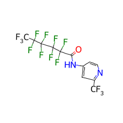 O=C(Nc1ccnc(C(F)(F)F)c1)C(F)(F)C(F)(F)C(F)(F)C(F)(F)C(F)(F)F